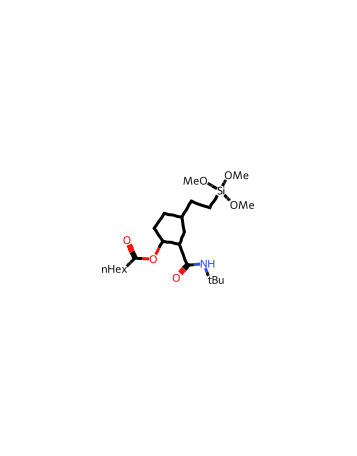 CCCCCCC(=O)OC1CCC(CC[Si](OC)(OC)OC)CC1C(=O)NC(C)(C)C